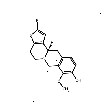 COc1c(O)ccc2c1CN1CCc3sc(F)cc3[C@@H]1C2